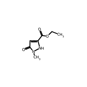 CCOC(=O)c1cc(=O)n(C)[nH]1